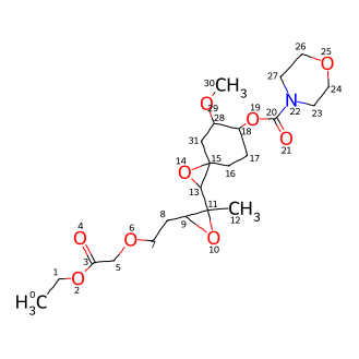 CCOC(=O)COCCC1OC1(C)C1OC12CCC(OC(=O)N1CCOCC1)C(OC)C2